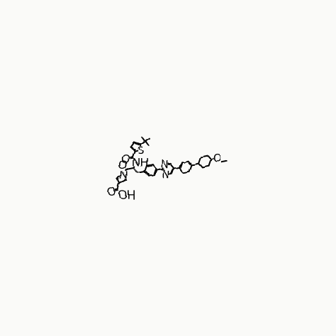 CCOC1CCC(C2CC=C(c3cnc(-c4ccc(C[C@H](NC(=O)c5ccc(C(C)(C)C)s5)C(=O)N5CC(C(=O)O)C5)cc4)nc3)CC2)CC1